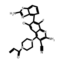 C=CC(=O)N1CCN(c2c(C#N)c(N)nc3c(F)c(-c4cccc5sc(N)nc45)c(Cl)cc23)CC1